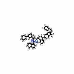 CC1(C)c2ccc(-c3ccc(-c4cc(-c5cccc(-c6ccccc6)c5)nc(-c5cccc6ccccc56)n4)c4ccccc34)cc2-c2c1ccc1ccccc21